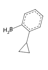 Bc1ccccc1C1CC1